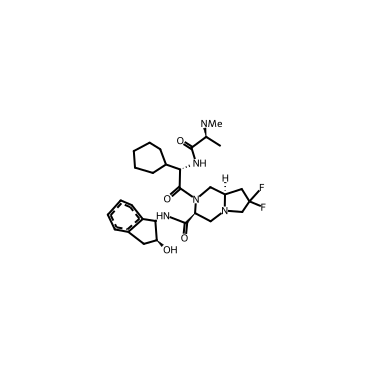 CN[C@@H](C)C(=O)N[C@H](C(=O)N1C[C@H]2CC(F)(F)CN2C[C@H]1C(=O)N[C@H]1c2ccccc2C[C@@H]1O)C1CCCCC1